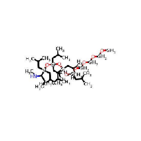 CCC(NC)[Si](CC(C)C)(CC(C)C)O[Si](CC(C)C)(CC(C)C)O[Si](CC(C)C)(CC(C)C)O[SiH](CC(C)C)O[SiH2]O[SiH2]O[SiH2]O[SiH3]